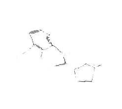 O=C(Nc1cccc(Br)c1Cl)[C@@H]1C[C@@H](F)CN1